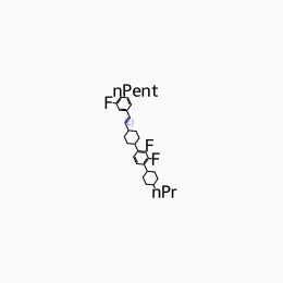 CCCCCc1ccc(/C=C/C2CCC(c3ccc(C4CCC(CCC)CC4)c(F)c3F)CC2)cc1F